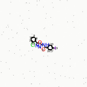 O=C(Nc1nnc(-c2ccccc2Cl)o1)c1ccc(I)cc1